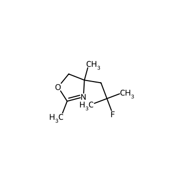 CC1=NC(C)(CC(C)(C)F)CO1